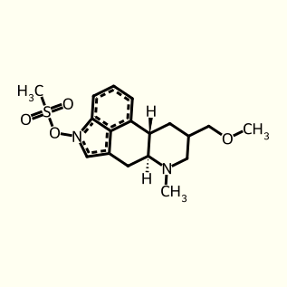 COCC1C[C@H]2c3cccc4c3c(cn4OS(C)(=O)=O)C[C@@H]2N(C)C1